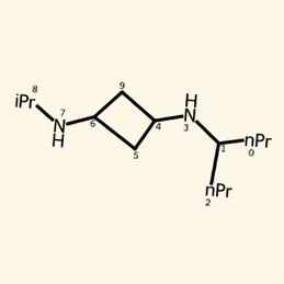 CCCC(CCC)NC1CC(NC(C)C)C1